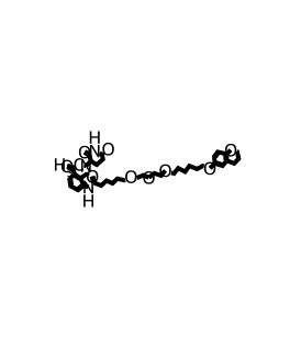 CN(Cc1c(C=O)cccc1NC(=O)CCCCCOCCOCCOCCCCCCOc1ccc2c(c1)CCCO2)C1CCC(=O)NC1=O